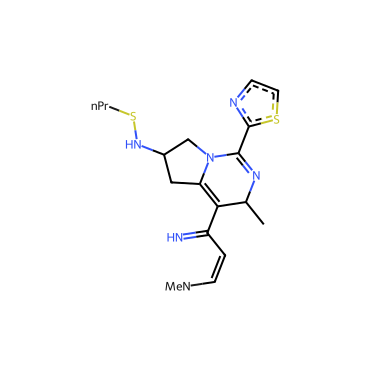 CCCSNC1CC2=C(C(=N)/C=C\NC)C(C)N=C(c3nccs3)N2C1